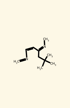 C=N/C=C\C(CC(C)(C)C)=N/C